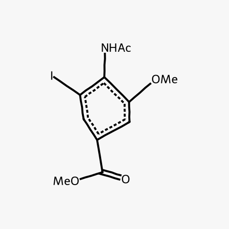 COC(=O)c1cc(I)c(NC(C)=O)c(OC)c1